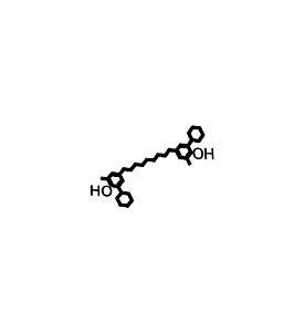 Cc1cc(CCCCCCCCCc2cc(C)c(O)c(C3CCCCC3)c2)cc(C2CCCCC2)c1O